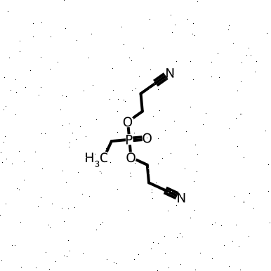 CCP(=O)(OCCC#N)OCCC#N